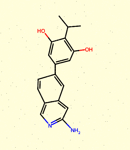 CC(C)c1c(O)cc(-c2ccc3cnc(N)cc3c2)cc1O